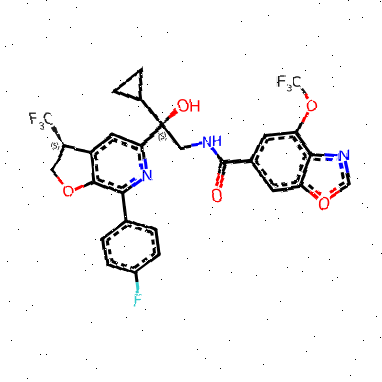 O=C(NC[C@](O)(c1cc2c(c(-c3ccc(F)cc3)n1)OC[C@H]2C(F)(F)F)C1CC1)c1cc(OC(F)(F)F)c2ncoc2c1